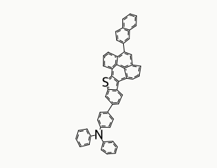 c1ccc(N(c2ccccc2)c2ccc(-c3ccc4c(c3)sc3c5cccc6c(-c7ccc8ccccc8c7)cc7cccc(c43)c7c65)cc2)cc1